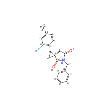 O=C1C[C@]2(C[C@@H]2c2ccc(C(F)(F)F)cc2F)C(=O)N1Cc1ccccc1